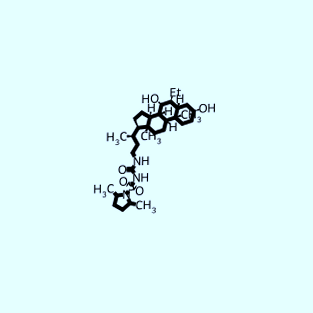 CC[C@H]1[C@@H](O)[C@@H]2[C@H](CC[C@]3(C)[C@@H]([C@H](C)CCNC(=O)NS(=O)(=O)N4C(C)CCC4C)CC[C@@H]23)[C@@]2(C)CC[C@@H](O)C[C@@H]12